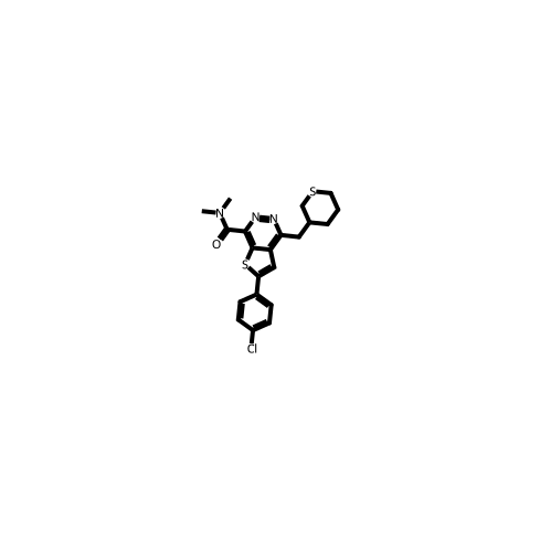 CN(C)C(=O)c1nnc(CC2CCCSC2)c2cc(-c3ccc(Cl)cc3)sc12